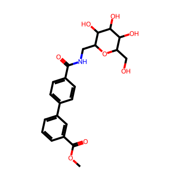 COC(=O)c1cccc(-c2ccc(C(=O)NCC3OC(CO)C(O)C(O)C3O)cc2)c1